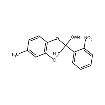 COC(C)(Oc1ccc(C(F)(F)F)cc1Cl)c1ccccc1[N+](=O)[O-]